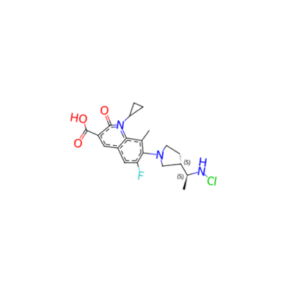 Cc1c(N2CC[C@H]([C@H](C)NCl)C2)c(F)cc2cc(C(=O)O)c(=O)n(C3CC3)c12